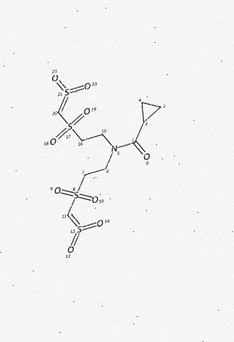 O=C(C1CC1)N(CCS(=O)(=O)C=S(=O)=O)CCS(=O)(=O)C=S(=O)=O